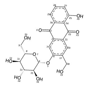 O=C1c2cc(O[C@H]3O[C@@H](CO)[C@H](O)[C@@H](O)[C@@H]3O)c(CO)cc2C(=O)c2c(O)cccc21